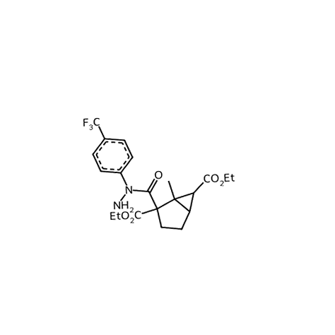 CCOC(=O)C1C2CCC(C(=O)OCC)(C(=O)N(N)c3ccc(C(F)(F)F)cc3)C21C